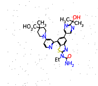 CCN(C(N)=O)c1nc2cc(-c3cnc(C(C)(C)O)nc3)cc(-c3cc(N4CCC(C)(C(=O)O)CC4)ccn3)c2s1